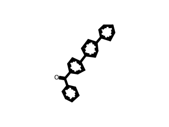 O=C(c1ccccc1)c1ccc(-c2ccc(-c3ccccc3)cc2)cc1